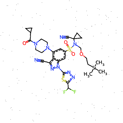 C[Si](C)(C)CCOCN(C1(C#N)CC1)S(=O)(=O)c1cc(N2CCN(C(=O)C3CC3)CC2)c2c(C#N)nn(-c3nnc(C(F)F)s3)c2c1